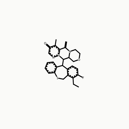 C=C1c2c(C)c(=O)cnn2C(C2c3ccccc3SCc3c2ccc(F)c3CC)C2COCCN12